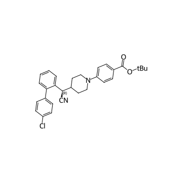 CC(C)(C)OC(=O)c1ccc(N2CCC([C@@H](C#N)c3ccccc3-c3ccc(Cl)cc3)CC2)cc1